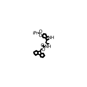 CC(Cc1c[nH]c2ccc(OC(=O)C(C)C)cc12)NC(=O)OCC1c2ccccc2-c2ccccc21